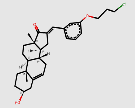 C[C@]12CC[C@H](O)CC1=CC[C@@H]1[C@@H]2CC[C@]2(C)C(=O)C(=Cc3cccc(OCCCCl)c3)C[C@@H]12